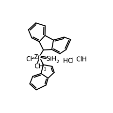 Cl.Cl.[CH3][Zr](=[SiH2])([Cl])([CH]1C=Cc2ccccc21)[CH]1c2ccccc2-c2ccccc21